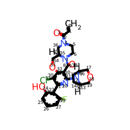 C=CC(=O)N1CCN2C(=O)c3c(N4[C@@H]5CC[C@H]4COC5)nc(-c4c(O)cccc4F)c(Cl)c3OC[C@H]2C1